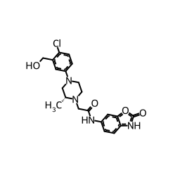 C[C@@H]1CN(c2ccc(Cl)c(CO)c2)CCN1CC(=O)Nc1ccc2[nH]c(=O)oc2c1